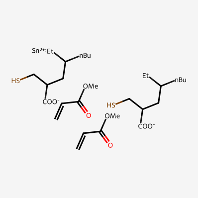 C=CC(=O)OC.C=CC(=O)OC.CCCCC(CC)CC(CS)C(=O)[O-].CCCCC(CC)CC(CS)C(=O)[O-].[Sn+2]